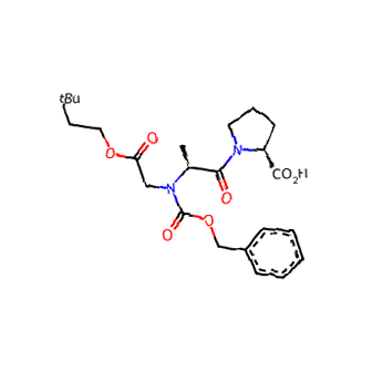 C[C@@H](C(=O)N1CCC[C@H]1C(=O)O)N(CC(=O)OCCC(C)(C)C)C(=O)OCc1ccccc1